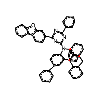 c1ccc(-c2ccc3c(c2)C24c5ccccc5C(c5ccccc52)c2cccc(c24)N3c2nc(-c3ccccc3)nc(-c3ccc4c(c3)oc3ccccc34)n2)cc1